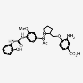 COc1cc(N(C(C)=O)N2CCCC2COc2ccc(C(=O)O)cc2N)ccc1NC(=O)Nc1ccccc1O